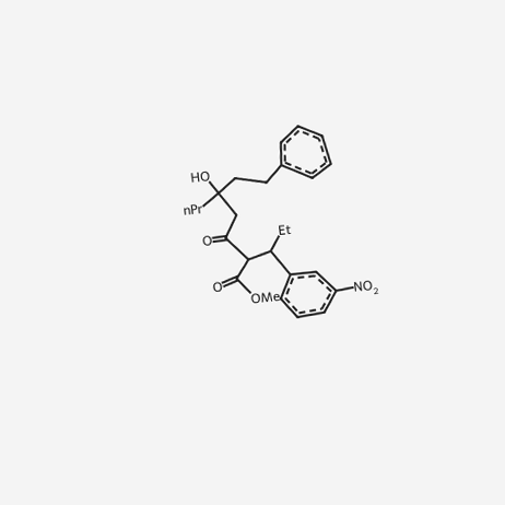 CCCC(O)(CCc1ccccc1)CC(=O)C(C(=O)OC)C(CC)c1cccc([N+](=O)[O-])c1